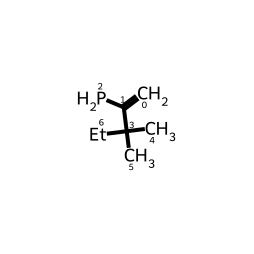 C=C(P)C(C)(C)CC